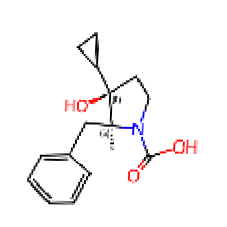 C[C@@]1(Cc2ccccc2)N(C(=O)O)CC[C@@]1(O)C1CC1